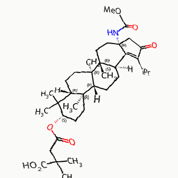 COC(=O)N[C@@]12CC[C@]3(C)[C@H](CC[C@@H]4[C@@]5(C)CC[C@H](OC(=O)CC(C)(C)C(=O)O)C(C)(C)[C@@H]5CC[C@]43C)C1=C(C(C)C)C(=O)C2